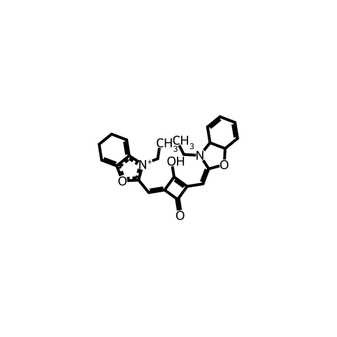 CCN1/C(=C\C2=C(O)C(=C\c3oc4c([n+]3CC)=CCCC=4)/C2=O)OC2C=CC=CC21